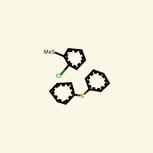 CSc1ccccc1Cl.c1ccc(Sc2ccccc2)cc1